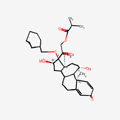 CC(C)C(=O)OCC(=O)[C@@]1(OCC2CCCCC2)[C@H](O)CC2C3CCC4=CC(=O)C=C[C@]4(C)C3[C@@H](O)C[C@@]21C